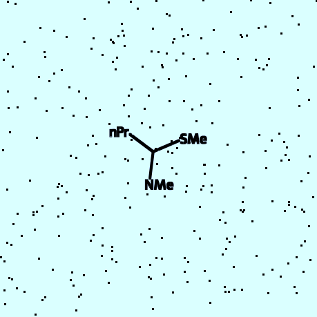 CCCC(NC)SC